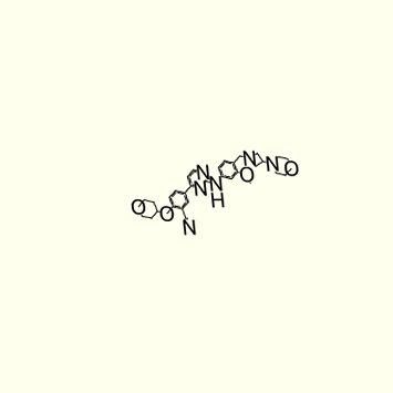 COc1cc(Nc2nccc(-c3ccc(OC4CCOCC4)c(C#N)c3)n2)ccc1CN1CC(N2CCOCC2)C1